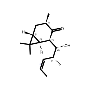 C/C=C\[C@@H](C)[C@@H](O)[C@@H]1C(=O)[C@H](C)C[C@@H]2[C@@H]1C2(C)C